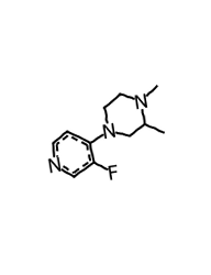 CC1CN(c2ccncc2F)CCN1C